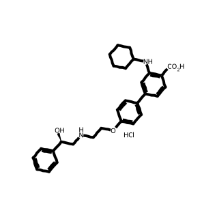 Cl.O=C(O)c1ccc(-c2ccc(OCCNC[C@H](O)c3ccccc3)cc2)cc1NC1CCCCC1